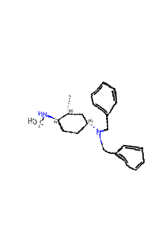 C[C@@H]1C[C@H](N(Cc2ccccc2)Cc2ccccc2)CC[C@H]1NC(=O)O